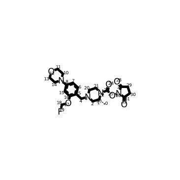 C[C@@H]1CN(Cc2ccc(N3CCOCC3)cc2OCF)CCN1C(=O)ON1C(=O)CCC1=O